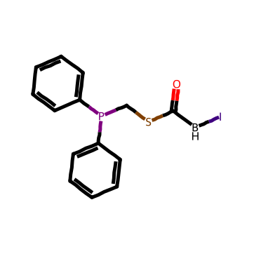 O=C(BI)SCP(c1ccccc1)c1ccccc1